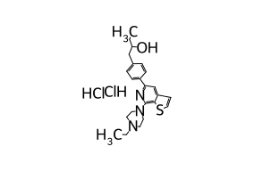 CCC(O)Cc1ccc(-c2cc3ccsc3c(N3CCN(CC)CC3)n2)cc1.Cl.Cl